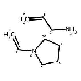 C=CCN.C=CN1CCCC1